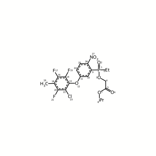 CCP(=O)(OCC(=O)OC(C)C)c1cc(Oc2c(F)c(F)c(C)c(F)c2Cl)ccc1[N+](=O)[O-]